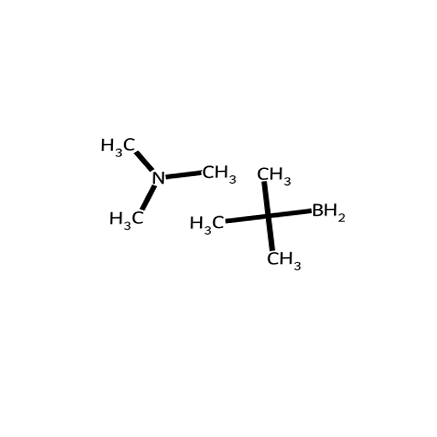 BC(C)(C)C.CN(C)C